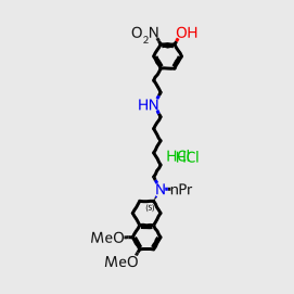 CCCN(CCCCCCNCCc1ccc(O)c([N+](=O)[O-])c1)[C@H]1CCc2c(ccc(OC)c2OC)C1.Cl.Cl